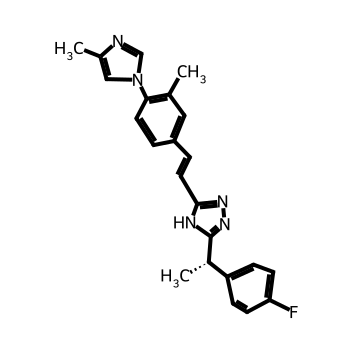 Cc1cn(-c2ccc(/C=C/c3nnc([C@@H](C)c4ccc(F)cc4)[nH]3)cc2C)cn1